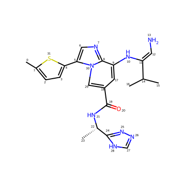 Cc1ccc(-c2cnc3c(N/C(=C\N)C(C)C)cc(C(=O)N[C@@H](C)c4nnc[nH]4)cn23)s1